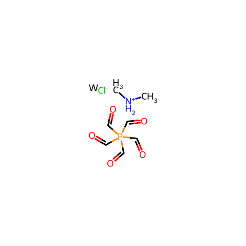 C[NH2+]C.O=CP(C=O)(C=O)(C=O)C=O.[Cl-].[W]